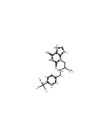 CC(Cn1c(=S)[nH]c(=O)c2[nH]cnc21)NCc1ccc(C(F)(F)F)nc1